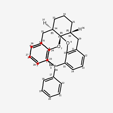 Brc1cccc2c1O[C@]13Oc4c(cccc4P(c4ccccc4)c4ccccc4)C[C@H]1CCC[C@@H]3C2